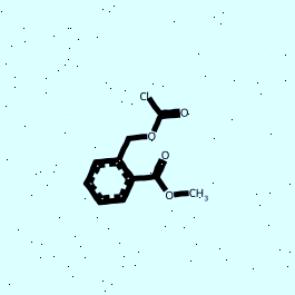 COC(=O)c1ccccc1COC(=O)Cl